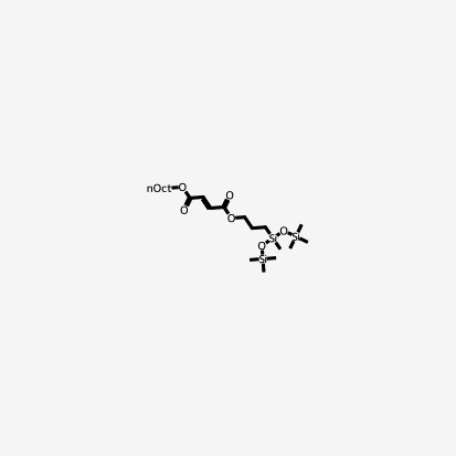 CCCCCCCCOC(=O)/C=C/C(=O)OCCC[Si](C)(O[Si](C)(C)C)O[Si](C)(C)C